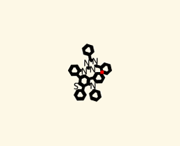 c1ccc(-c2nc(-c3ccccc3)nc(-n3c4ccccc4c4c5sc6ccccc6c5c5c(c6ccccc6n5-c5ccccc5)c43)n2)cc1